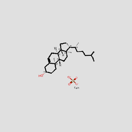 CC(C)CCC[C@@H](C)[C@H]1CC[C@H]2[C@@H]3CC=C4C[C@@H](O)CC[C@]4(C)[C@H]3CC[C@]12C.O=S(=O)([O-])[O-].[Ca+2]